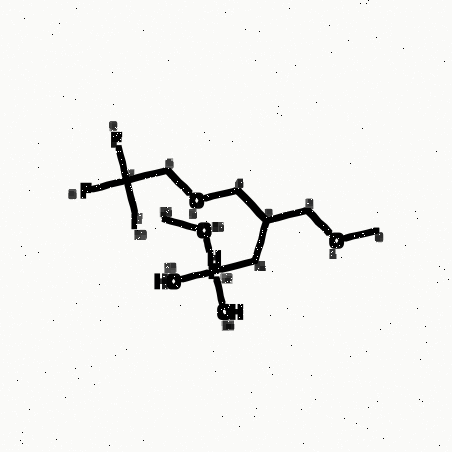 COCC(COCC(F)(F)F)C[PH](O)(O)OC